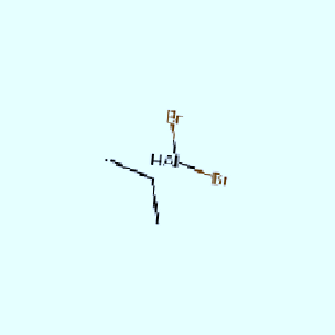 [Br][AlH][Br].[CH2]CC